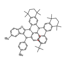 Cc1cc2c3c(c1)N(c1ccc(C(C)(C)C)cc1)c1c(oc4ccc(C(C)(C)C)cc14)B3c1cc3c(cc1N2c1cc2c(cc1-c1ccc([Si](C)(C)C)cc1)C(C)(C)CCC2(C)C)C(C)(C)CCC3(C)C